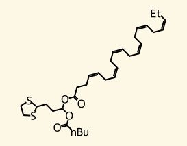 CC/C=C\C/C=C\C/C=C\C/C=C\C/C=C\C/C=C\CCC(=O)OC(CCC1SCCS1)OC(=O)CCCC